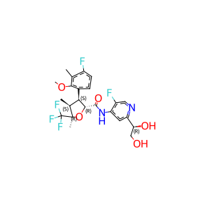 COc1c([C@H]2[C@H](C(=O)Nc3cc([C@@H](O)CO)ncc3F)O[C@@](C)(C(F)(F)F)[C@H]2C)ccc(F)c1C